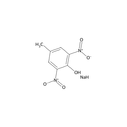 Cc1cc([N+](=O)[O-])c(O)c([N+](=O)[O-])c1.[NaH]